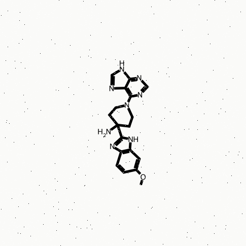 COc1ccc2nc(C3(N)CCN(c4ncnc5[nH]cnc45)CC3)[nH]c2c1